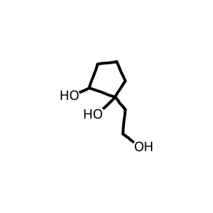 OCCC1(O)CCCC1O